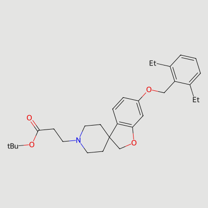 CCc1cccc(CC)c1COc1ccc2c(c1)OCC21CCN(CCC(=O)OC(C)(C)C)CC1